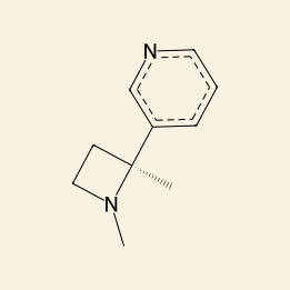 CN1CC[C@@]1(C)c1cccnc1